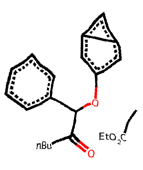 CCCCC(=O)C(Oc1cc2cc-2c1)c1ccccc1.CCOC(C)=O